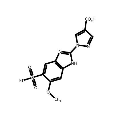 CCS(=O)(=O)c1cc2nc(-n3cc(C(=O)O)cn3)[nH]c2cc1OC(F)(F)F